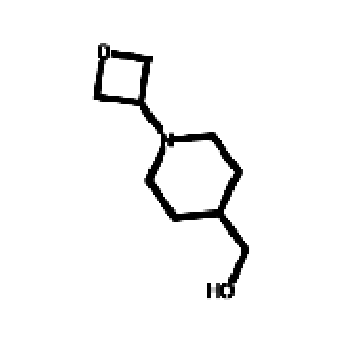 OCC1CCN(C2COC2)CC1